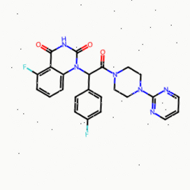 O=C(C(c1ccc(F)cc1)n1c(=O)[nH]c(=O)c2c(F)cccc21)N1CCN(c2ncccn2)CC1